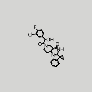 O=C(C(O)c1ccc(F)c(Cl)c1)N1CCc2nc(C3(c4ccccc4)CC3)[nH]c(=O)c2C1